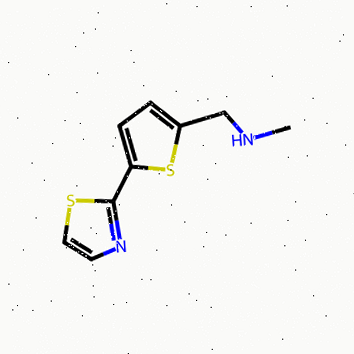 CNCc1ccc(-c2nccs2)s1